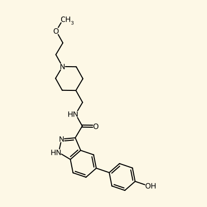 COCCN1CCC(CNC(=O)c2n[nH]c3ccc(-c4ccc(O)cc4)cc23)CC1